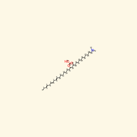 CCC=CCC=CCC=CCCCCCCCC(CCCCCCCCCCCCCN(C)C)OC(=O)O